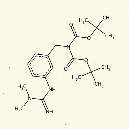 CN(C)C(=N)Nc1cccc(CN(C(=O)OC(C)(C)C)C(=O)OC(C)(C)C)c1